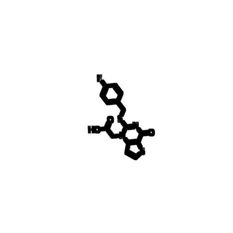 O=C(O)Cn1c(SCc2ccc(F)cc2)nc(=O)c2sccc21